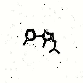 Cc1cccc(-c2nnn(CC(C)C)c2C)c1